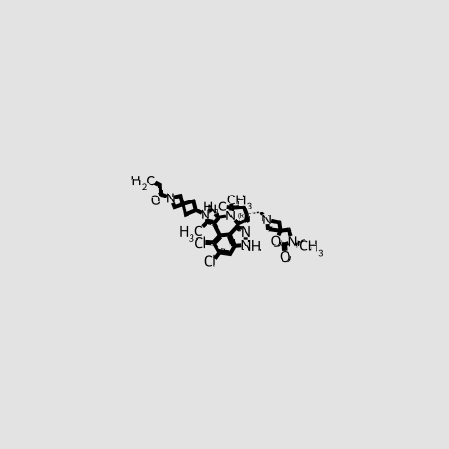 C=CC(=O)N1CC2(CC(n3nc(N4CC[C@@H](CN5CC6(C5)CN(C)C(=O)O6)CC4(C)C)c(-c4c(Cl)c(Cl)cc5[nH]ncc45)c3C)C2)C1